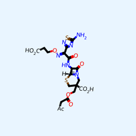 CC(=O)CC(=O)OCC1(C(=O)O)CS[C@@H]2C(NC(=O)C(=NOCCC(=O)O)c3nsc(N)n3)C(=O)N2C1